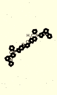 Cc1ccccc1N(c1ccc2cc3c(cc2c1)oc1c3ccc2c3cc4ccc(N(c5ccc6c(c5)c5cccc7c8ccccc8n6c75)c5ccccc5C)cc4cc3oc21)c1ccc2c(c1)c1cccc3c4ccccc4n2c31